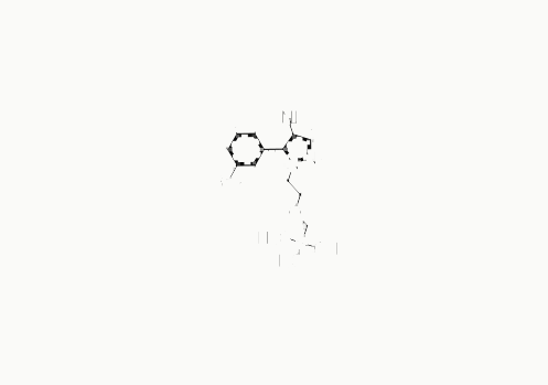 CS(C)(C)COCCn1ncc(N)c1-c1cccc(Br)c1